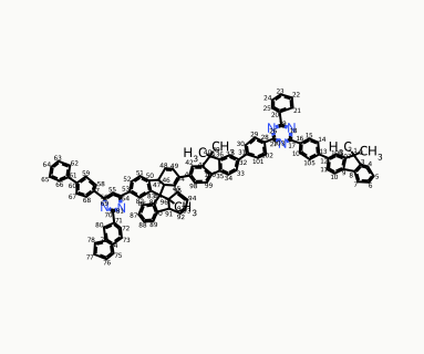 CC1(C)c2ccccc2-c2ccc(-c3ccc(-c4nc(-c5ccccc5)nc(-c5ccc(-c6ccc7c(c6)C(C)(C)c6cc(C8=CC9C(C=C8)c8ccc(-c%10cc(-c%11ccc(-c%12ccccc%12)cc%11)nc(-c%11ccc%12ccccc%12c%11)n%10)cc8C98c9ccccc9C9C=CC=CC98C)ccc6-7)cc5)n4)cc3)cc21